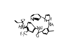 C=CC(=O)Nc1ccc(NC(=O)c2ccc(C)c(Nc3nccc(-c4cccnc4)n3)c2)cc1C(F)(F)F